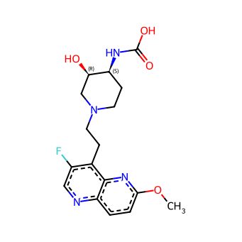 COc1ccc2ncc(F)c(CCN3CC[C@H](NC(=O)O)[C@H](O)C3)c2n1